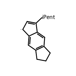 CCCC(C)C1=C[CH]c2cc3c(cc21)CCC3